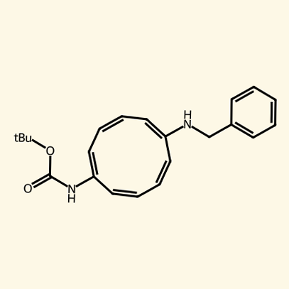 CC(C)(C)OC(=O)Nc1ccccc(NCc2ccccc2)cccc1